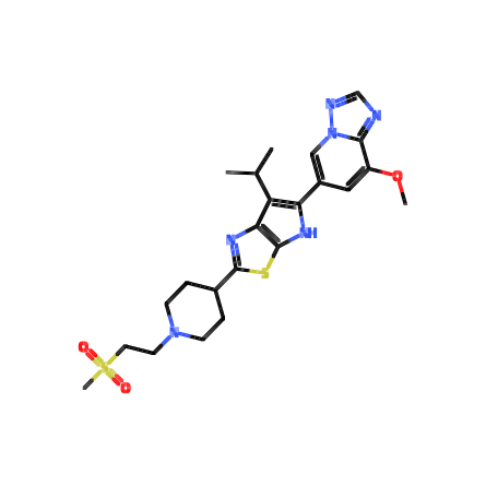 COc1cc(-c2[nH]c3sc(C4CCN(CCS(C)(=O)=O)CC4)nc3c2C(C)C)cn2ncnc12